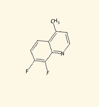 Cc1ccnc2c(F)c(F)ccc12